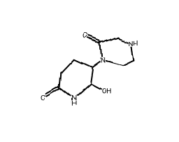 O=C1CCC(N2CCNCC2=O)C(O)N1